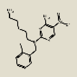 NCCCCCN(Cc1ccccc1Cl)c1ncc([N+](=O)[O-])c(N)n1